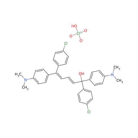 CN(C)c1ccc(C(=CC=CC(O)(c2ccc(Cl)cc2)c2ccc(N(C)C)cc2)c2ccc(Cl)cc2)cc1.[O-][Cl+3]([O-])([O-])O